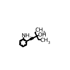 CCC(O)(C#Cc1ccccc1N)CC